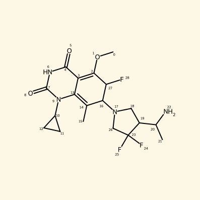 COC1=c2c(=O)[nH]c(=O)n(C3CC3)c2=C(C)C(N2CC(C(C)N)C(F)(F)C2)C1F